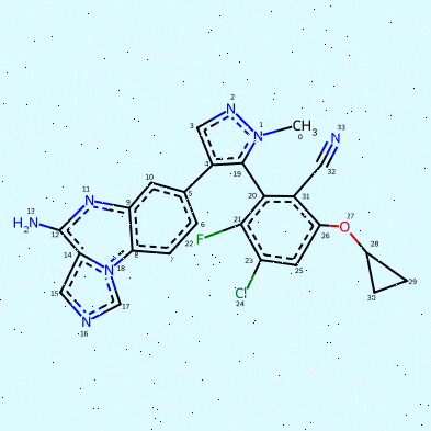 Cn1ncc(-c2ccc3c(c2)nc(N)c2cncn23)c1-c1c(F)c(Cl)cc(OC2CC2)c1C#N